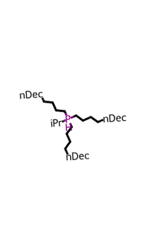 CCCCCCCCCCCCCC[PH](CCCCCCCCCCCCCC)(CCCCCCCCCCCCCC)C(C)C